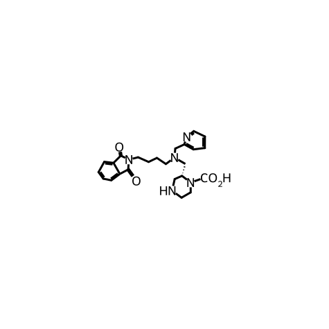 O=C1c2ccccc2C(=O)N1CCCCN(Cc1ccccn1)C[C@H]1CNCCN1C(=O)O